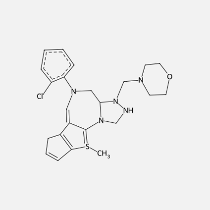 CS1=C2C(=CN(c3ccccc3Cl)CC3N(CN4CCOCC4)NCN23)C2=C1C=CC2